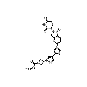 CC(C)(C)OC(=O)N1CC(n2cc(-c3cn(-c4ccc5c(c4)CN(C4CCC(=O)NC4=O)C5=O)nn3)cn2)C1